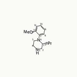 CCCC1CNCCN1c1ccccc1OC